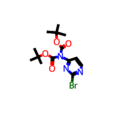 CC(C)(C)OC(=O)N(C(=O)OC(C)(C)C)c1ccnc(Br)n1